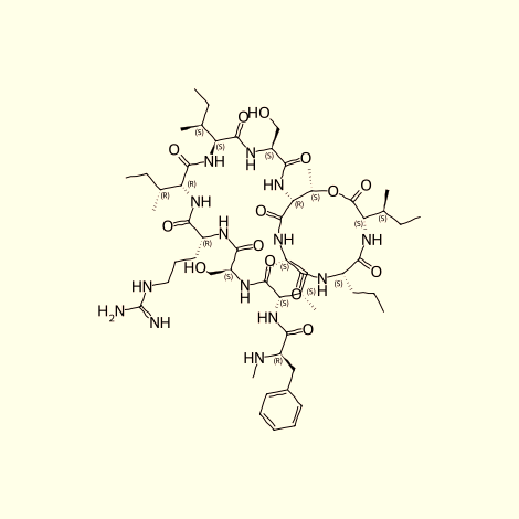 CCC[C@@H]1NC(=O)[C@H](C)NC(=O)[C@H](NC(=O)[C@H](CO)NC(=O)[C@@H](NC(=O)[C@H](NC(=O)[C@@H](CCCNC(=N)N)NC(=O)[C@H](CO)NC(=O)[C@@H](NC(=O)[C@@H](Cc2ccccc2)NC)[C@@H](C)CC)[C@H](C)CC)[C@@H](C)CC)[C@H](C)OC(=O)[C@H]([C@@H](C)CC)NC1=O